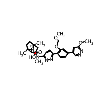 COCOc1cc(-c2cnnc(OC)c2)ccc1-c1ccc(N(C)C2CC3(C)CC[C@](C)(C2)N3C(=O)O)nn1